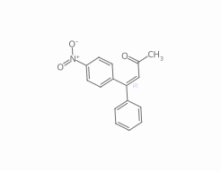 CC(=O)/C=C(/c1ccccc1)c1ccc([N+](=O)[O-])cc1